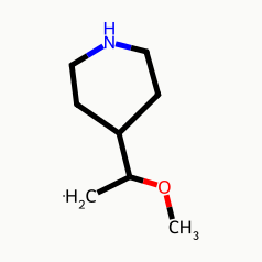 [CH2]C(OC)C1CCNCC1